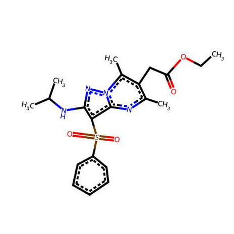 CCOC(=O)Cc1c(C)nc2c(S(=O)(=O)c3ccccc3)c(NC(C)C)nn2c1C